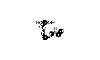 O=C(OCCOc1cccc(CN2CCC(Nc3cccc4cnccc34)C2)c1)c1cc(O)ccc1O